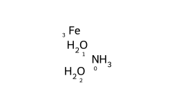 N.O.O.[Fe]